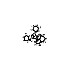 O=C(OC1CCCCC1)C1(C(=O)OC2CCCCC2)CCCC2CCCCC21